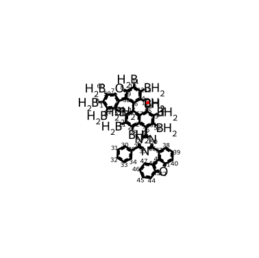 Bc1c(B)c(B)c2c(oc3c(B)c(B)c(B)c(-c4c(B)c(B)c(B)c5c(-c6nc(-c7ccccc7)nc(-c7cccc8oc9ccccc9c78)n6)c(B)c(B)c(B)c45)c32)c1B